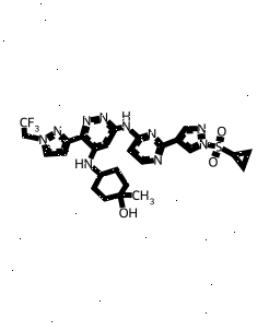 CC1(O)CCC(Nc2cc(Nc3ccnc(-c4cnn(S(=O)(=O)C5CC5)c4)n3)nnc2-c2ccn(CC(F)(F)F)n2)CC1